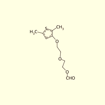 Cc1cc(OCCOCCOC=O)c(C)s1